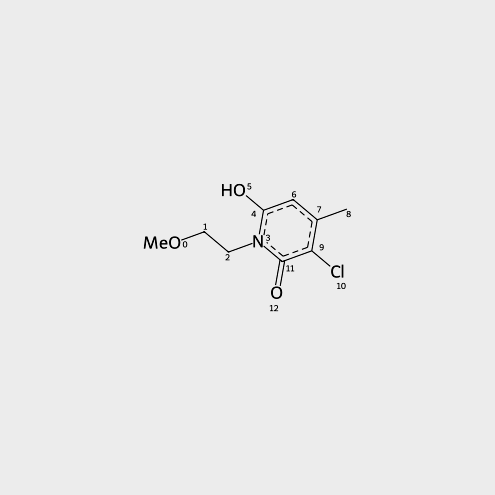 COCCn1c(O)cc(C)c(Cl)c1=O